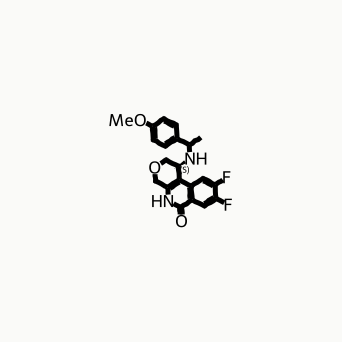 COc1ccc(C(C)N[C@@H]2COCc3[nH]c(=O)c4cc(F)c(F)cc4c32)cc1